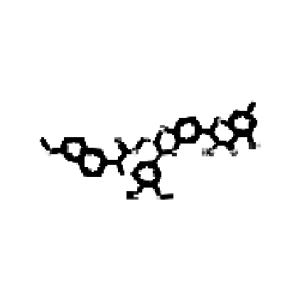 COc1ccc2cc(C(C)C(=O)OC[C@@H]3Oc4ccc(C5Oc6cc(C)cc(O)c6C(=O)[C@H]5O)cc4O[C@H]3c3ccc(O)c(OC)c3)ccc2c1